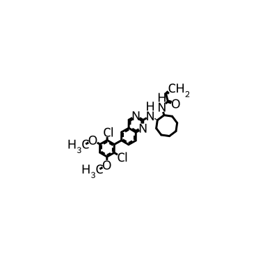 C=CC(=O)NC1CCCCCC[C@@H]1Nc1ncc2cc(-c3c(Cl)c(OC)cc(OC)c3Cl)ccc2n1